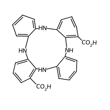 O=C(O)c1cccc2c1Nc1ccccc1Nc1c(cccc1C(=O)O)Nc1ccccc1N2